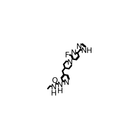 CCNC(=O)Nc1cc(CC2CCN(c3ccc(-c4ncc[nH]4)nc3F)CC2)ccn1